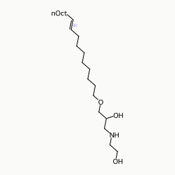 CCCCCCCC/C=C/CCCCCCCCOCC(O)CNCCO